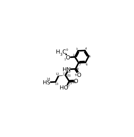 COc1ccccc1C(=O)N[C@@H](CCS)C(=O)O